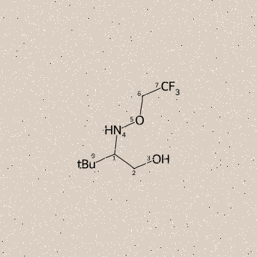 CC(C)(C)C(CO)NOCC(F)(F)F